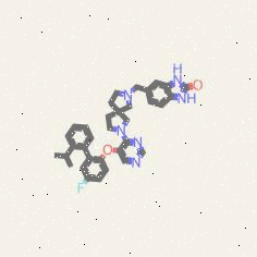 CC(C)c1ccccc1-c1cc(F)ccc1Oc1cncnc1N1CCC2(CCN(Cc3ccc4[nH]c(=O)[nH]c4c3)C2)C1